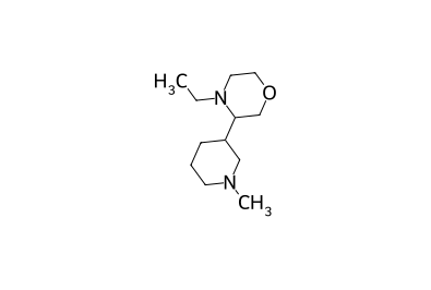 CCN1CCOCC1C1CCCN(C)C1